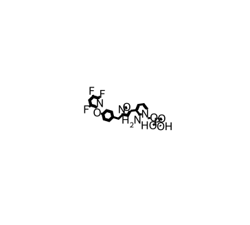 NC1C(c2cc(Cc3ccc(Oc4nc(F)c(F)cc4F)cc3)no2)=CC=CN1COP(=O)(O)O